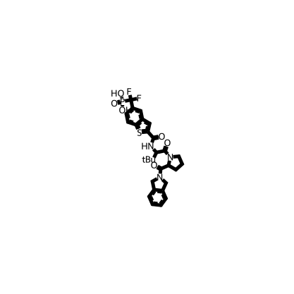 CC(C)(C)C(NC(=O)c1cc2cc(C(F)(F)P(=O)(O)O)ccc2s1)C(=O)N1CCCC1C(=O)N1Cc2ccccc2C1